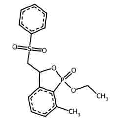 CCOP1(=O)OC(CS(=O)(=O)c2ccccc2)c2cccc(C)c21